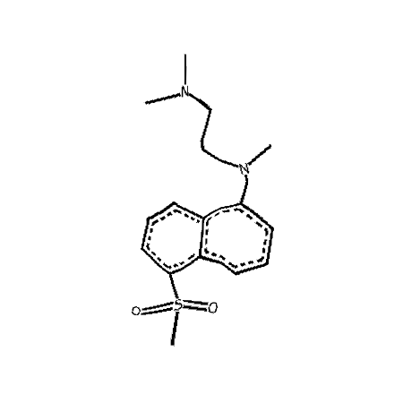 CN(C)CCN(C)c1cccc2c(S(C)(=O)=O)cccc12